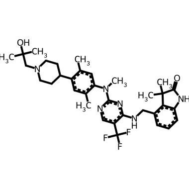 Cc1cc(N(C)c2ncc(C(F)(F)F)c(NCc3cccc4c3C(C)(C)C(=O)N4)n2)c(C)cc1C1CCN(CC(C)(C)O)CC1